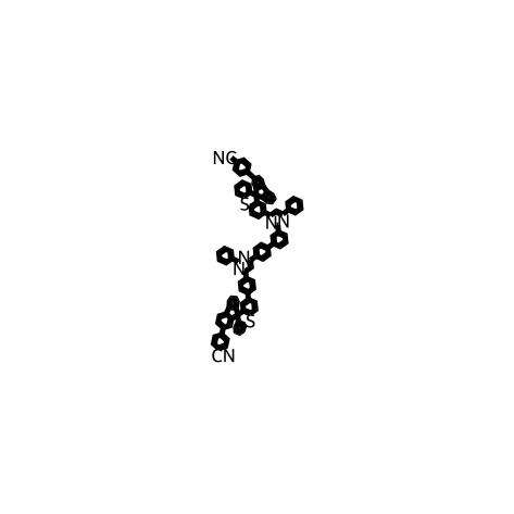 N#Cc1ccc(-c2ccc3c(c2)C2(c4ccccc4Sc4ccc(-c5ccc(-c6cc(-c7ccc(-c8cccc(-c9nc(-c%10ccccc%10)cc(-c%10ccc%11c(c%10)C%10(c%12ccccc%12S%11)c%11ccccc%11-c%11ccc(-c%12ccc(C#N)cc%12)cc%11%10)n9)c8)cc7)nc(-c7ccccc7)n6)cc5)cc42)c2ccccc2-3)cc1